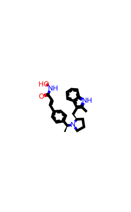 Cc1[nH]c2ccccc2c1C[C@H]1CCCN1[C@@H](C)c1ccc(C=CC(=O)NO)cc1